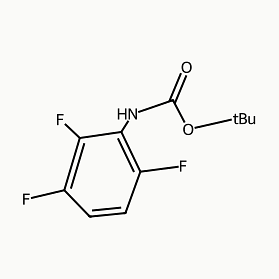 CC(C)(C)OC(=O)Nc1c(F)ccc(F)c1F